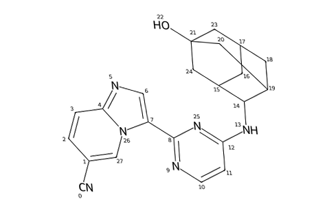 N#Cc1ccc2ncc(-c3nccc(NC4C5CC6CC4CC(O)(C6)C5)n3)n2c1